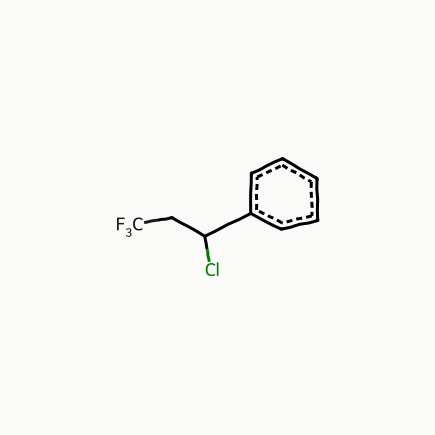 FC(F)(F)CC(Cl)c1ccccc1